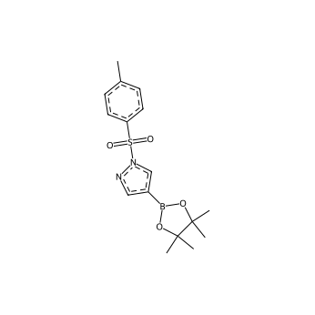 Cc1ccc(S(=O)(=O)n2cc(B3OC(C)(C)C(C)(C)O3)cn2)cc1